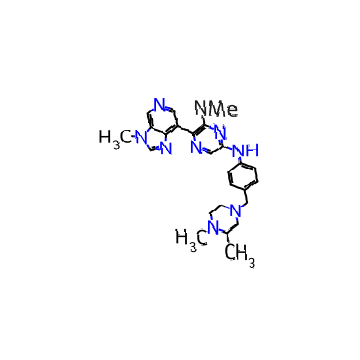 CNc1nc(Nc2ccc(CN3CCN(C)[C@H](C)C3)cc2)cnc1-c1cncc2c1ncn2C